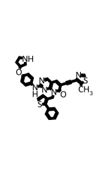 Cc1scnc1C#Cc1cc2cnc(Nc3ccc(OC4CCNC4)cc3)nc2n(Cc2ccsc2-c2ccccc2)c1=O